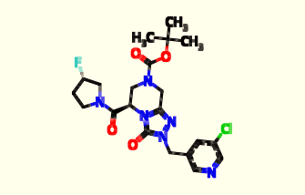 CC(C)(C)OC(=O)N1Cc2nn(Cc3cncc(Cl)c3)c(=O)n2[C@@H](C(=O)N2CC[C@H](F)C2)C1